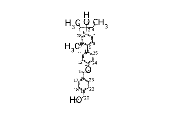 CCC(O)(CC)c1ccc(-c2ccc(OCc3c[c]c(CO)cc3)cc2)c(C)c1